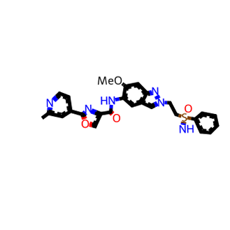 COc1cc2nn(CCS(=N)(=O)c3ccccc3)cc2cc1NC(=O)c1coc(-c2ccnc(C)c2)n1